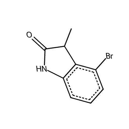 CC1C(=O)Nc2cccc(Br)c21